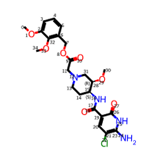 COc1cccc(COC(=O)CN2CC[C@H](NC(=O)c3cc(Cl)c(N)[nH]c3=O)[C@H](OC)C2)c1OC